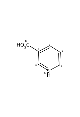 O=C(O)c1ccc[siH]c1